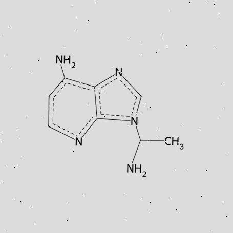 CC(N)n1cnc2c(N)ccnc21